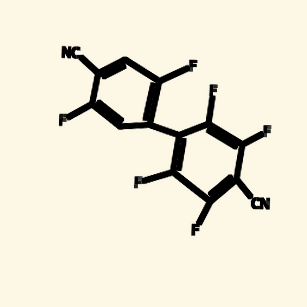 N#Cc1cc(F)c(-c2c(F)c(F)c(C#N)c(F)c2F)cc1F